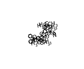 CC(C)(C)[Si](C)(C)Oc1cc(OC(=O)n2ccnc2)c2c(=O)c(O[Si](C)(C)C(C)(C)C)c(-c3ccc4c(c3)OC(c3ccccc3)(c3ccccc3)O4)oc2c1